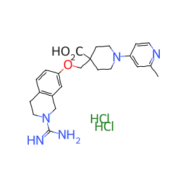 Cc1cc(N2CCC(COc3ccc4c(c3)CN(C(=N)N)CC4)(C(=O)O)CC2)ccn1.Cl.Cl